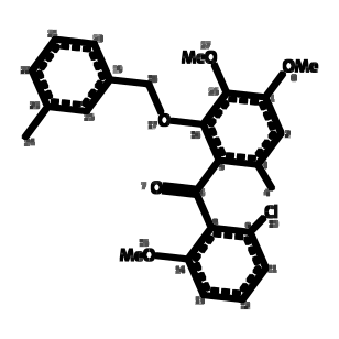 COc1cc(C)c(C(=O)c2c(Cl)cccc2OC)c(OCc2cccc(C)c2)c1OC